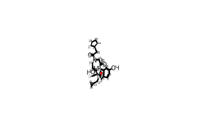 Cc1ccc(O)c2c1[PH]13CCN(CC4CC4)C(C)C1(O)CCN(C(=O)CC1CCCC1)C[C@@H]3O2